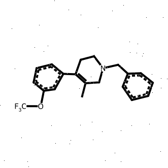 CC1=C(c2cccc(OC(F)(F)F)c2)CCN(Cc2ccccc2)C1